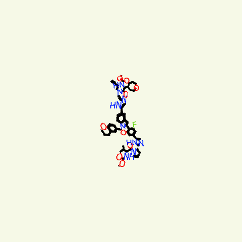 C#CCCN(Cc1ncc(-c2ccc3c(c2)cc2n3C(c3ccc4c(c3)CCCO4)Oc3cc(-c4cnc([C@@H]5CCCN5C(=O)C(NC(=O)OC)C(C)C)[nH]4)cc(F)c3-2)[nH]1)C(=O)[C@@H](NC(=O)OC)C1CCCOCC1